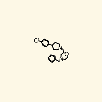 Clc1ccc(C2CCN(CC3CN(Cc4ccccc4)CCO3)CC2)cc1